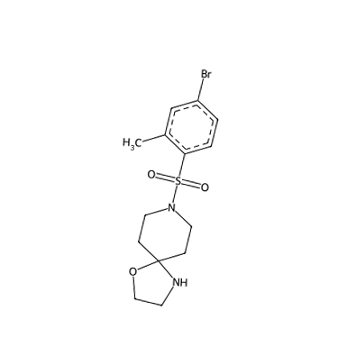 Cc1cc(Br)ccc1S(=O)(=O)N1CCC2(CC1)NCCO2